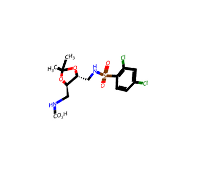 CC1(C)O[C@H](CNC(=O)O)[C@@H](CNS(=O)(=O)c2ccc(Cl)cc2Cl)O1